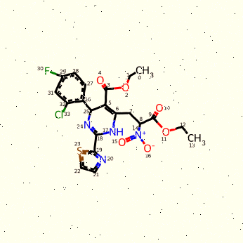 CCOC(=O)C1=C(CC(C(=O)OCC)[N+](=O)[O-])NC(c2nccs2)=NC1c1ccc(F)cc1Cl